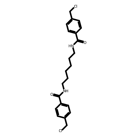 O=C(NCCCCCCNC(=O)c1ccc(CCl)cc1)c1ccc(CCl)cc1